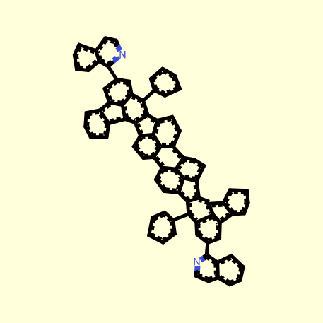 c1ccc(-c2c3cc(-c4nccc5ccccc45)cc4c5ccccc5c(c34)c3c4ccc5c6ccc7c8c(-c9ccccc9)c9cc(-c%10nccc%11ccccc%10%11)cc%10c%11ccccc%11c(c9%10)c8c8ccc(c9ccc(c23)c4c95)c6c78)cc1